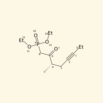 CCC#CC[C@H](C)C(=O)CP(=O)(OCC)OCC